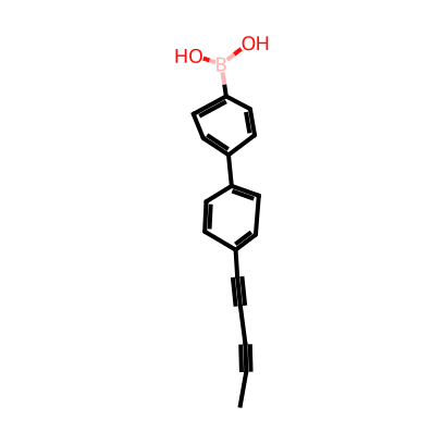 CC#CC#Cc1ccc(-c2ccc(B(O)O)cc2)cc1